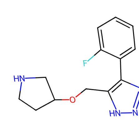 Fc1ccccc1-c1nn[nH]c1COC1CCNC1